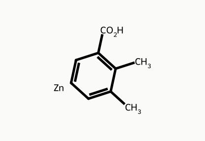 Cc1cccc(C(=O)O)c1C.[Zn]